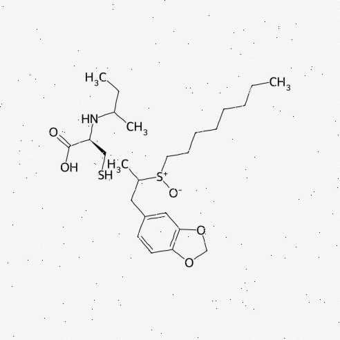 CCC(C)N[C@@H](CS)C(=O)O.CCCCCCCC[S+]([O-])C(C)Cc1ccc2c(c1)OCO2